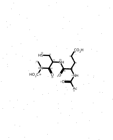 CC(=O)C(=O)NC(CCC(=O)O)C(=O)NC(CS)C(=O)N(C)C(=O)O